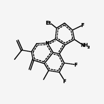 C=C(C)c1cn2c3c(CC)cc(F)c(N)c3c3c(F)c(F)c(C)c(c1=C)c32